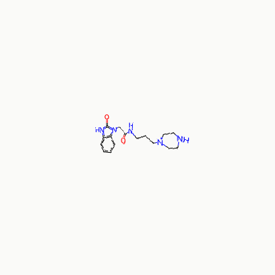 O=C(Cn1c(=O)[nH]c2ccccc21)NCCCN1CCNCC1